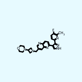 Cc1nc(-c2n[nH]cc2-c2ccc3ncc(CN4CC(N5CCOCC5)C4)cc3n2)ccc1F